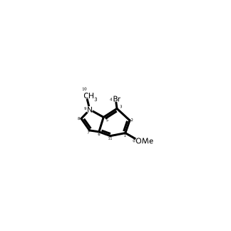 COc1cc(Br)c2c(ccn2C)c1